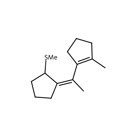 CSC1CCC/C1=C(\C)C1=C(C)CCC1